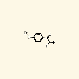 CCOc1ccc(C(=O)C(F)F)cc1